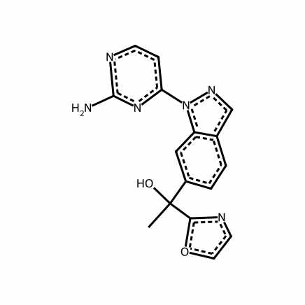 CC(O)(c1ccc2cnn(-c3ccnc(N)n3)c2c1)c1ncco1